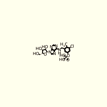 Cc1c(Cl)cc(OP(=O)(O)O)cc1CNc1ncnc2c1ncn2[C@@H]1O[C@H](CO)[C@@H](O)[C@H]1O